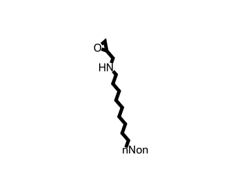 CCCCCCCCCCCCCCCCCCNCC1CO1